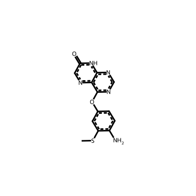 CSc1cc(Oc2ncnc3[nH]c(=O)cnc23)ccc1N